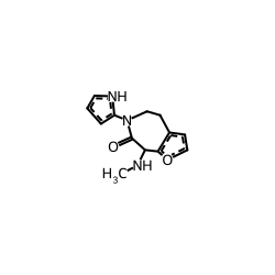 CNC1C(=O)N(c2ccc[nH]2)CCc2ccoc21